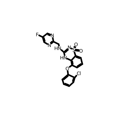 O=S1(=O)N=C(NCc2ncc(F)cn2)Nc2c(Oc3ccccc3Cl)cccc21